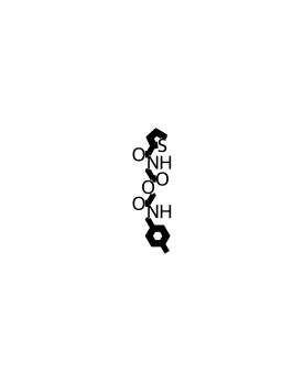 Cc1ccc(CNC(=O)COC(=O)CNC(=O)c2cccs2)cc1